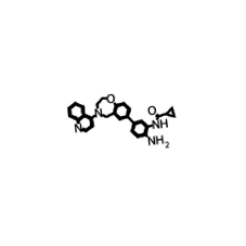 Nc1ccc(-c2ccc3c(c2)CN(c2ccnc4ccccc24)CCO3)cc1NC(=O)C1CC1